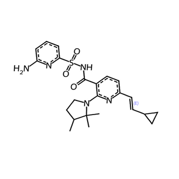 CC1CCN(c2nc(/C=C/C3CC3)ccc2C(=O)NS(=O)(=O)c2cccc(N)n2)C1(C)C